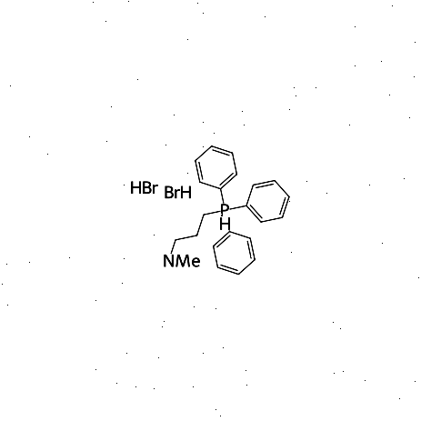 Br.Br.CNCCC[PH](c1ccccc1)(c1ccccc1)c1ccccc1